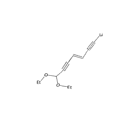 [Li][C]#CC=CC#CC(OCC)OCC